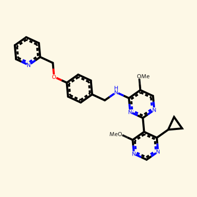 COc1cnc(-c2c(OC)ncnc2C2CC2)nc1NCc1ccc(OCc2ccccn2)cc1